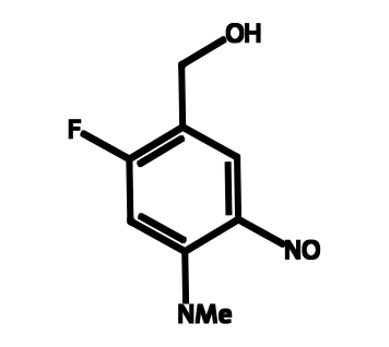 CNc1cc(F)c(CO)cc1N=O